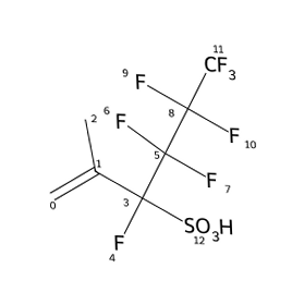 C=C(C)C(F)(C(F)(F)C(F)(F)C(F)(F)F)S(=O)(=O)O